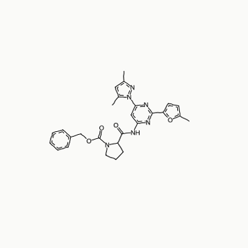 Cc1cc(C)n(-c2cc(NC(=O)C3CCCN3C(=O)OCc3ccccc3)nc(-c3ccc(C)o3)n2)n1